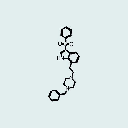 O=S(=O)(c1ccccc1)c1c[nH]c2c(CCN3CCN(Cc4ccccc4)CC3)cccc12